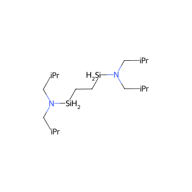 CC(C)CN(CC(C)C)[SiH2]CC[SiH2]N(CC(C)C)CC(C)C